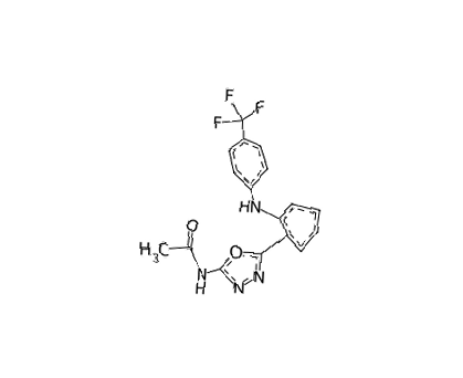 CC(=O)Nc1nnc(-c2ccccc2Nc2ccc(C(F)(F)F)cc2)o1